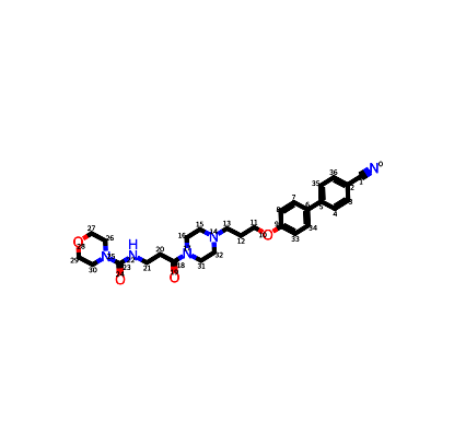 N#Cc1ccc(-c2ccc(OCCCN3CCN(C(=O)CCNC(=O)N4CCOCC4)CC3)cc2)cc1